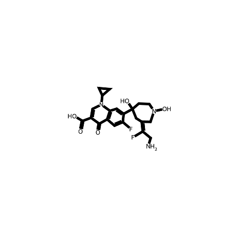 NC/C(F)=C1\CN(O)CCC(O)(c2cc3c(cc2F)c(=O)c(C(=O)O)cn3C2CC2)C1